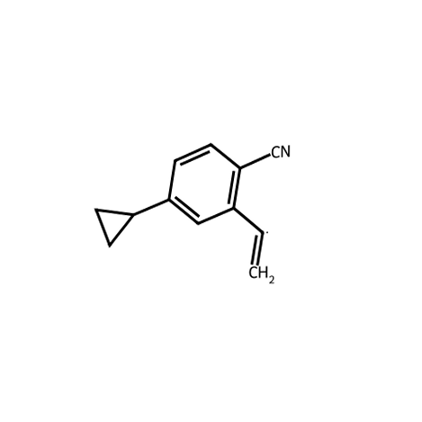 C=[C]c1cc(C2CC2)ccc1C#N